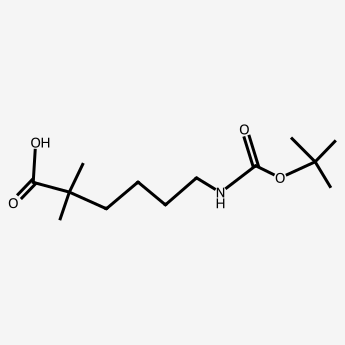 CC(C)(C)OC(=O)NCCCCC(C)(C)C(=O)O